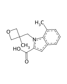 Cc1cccc2cc(C(=O)O)n(CC3(C)COC3)c12